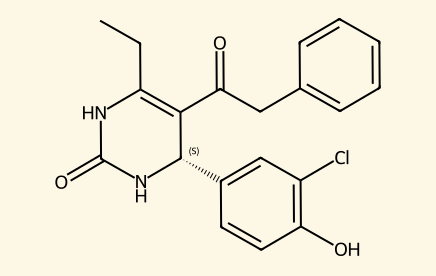 CCC1=C(C(=O)Cc2ccccc2)[C@H](c2ccc(O)c(Cl)c2)NC(=O)N1